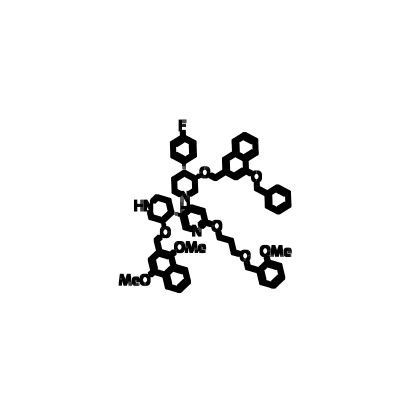 COc1ccccc1COCCCOc1ccc([C@H]2CCNC[C@@H]2OCc2cc(OC)c3ccccc3c2OC)cn1.Fc1ccc([C@H]2CCNC[C@@H]2OCc2cc(OCc3ccccc3)c3ccccc3c2)cc1